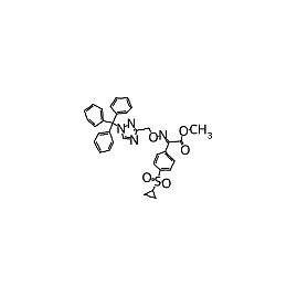 COC(=O)/C(=N/OCc1ncn(C(c2ccccc2)(c2ccccc2)c2ccccc2)n1)c1ccc(S(=O)(=O)C2CC2)cc1